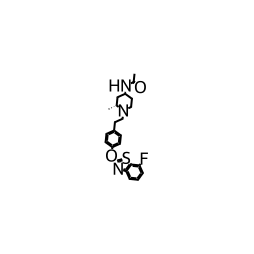 CC(=O)N[C@H]1CCN(CCc2ccc(Oc3nc4cccc(F)c4s3)cc2)[C@H](C)C1